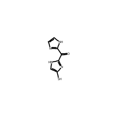 O=C(c1ncc[nH]1)c1nc(S)c[nH]1